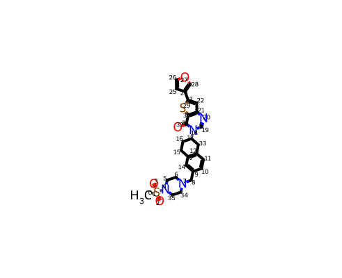 CS(=O)(=O)N1CCN(Cc2ccc3c(c2)CC[C@H](n2cnc4cc(-c5ccoc5)sc4c2=O)C3)CC1